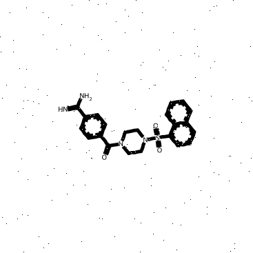 N=C(N)c1ccc(C(=O)N2CCN(S(=O)(=O)c3cccc4ccccc34)CC2)cc1